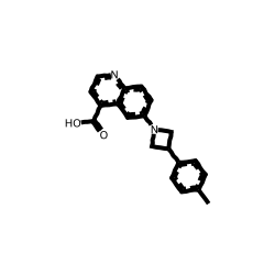 Cc1ccc(C2CN(c3ccc4nccc(C(=O)O)c4c3)C2)cc1